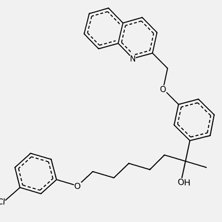 CC(O)(CCCCCOc1cccc(Cl)c1)c1cccc(OCc2ccc3ccccc3n2)c1